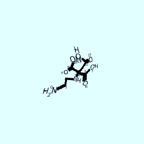 NCCNC(C(=O)O)(C(=O)O)C(=O)O